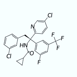 O=C(N[C@@](Cc1cccc(Cl)c1)(c1cc(F)cc(C(F)(F)F)c1)c1ccc(Cl)cn1)C1CC1